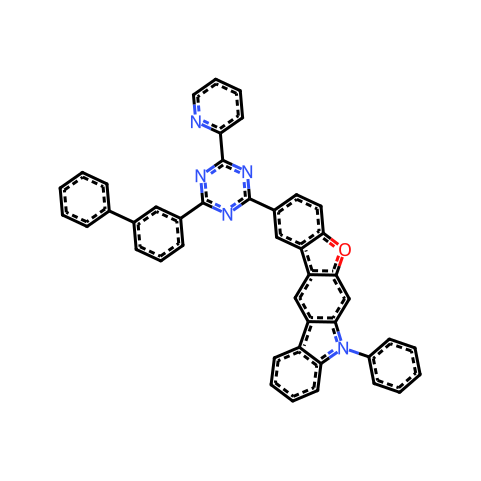 c1ccc(-c2cccc(-c3nc(-c4ccc5oc6cc7c(cc6c5c4)c4ccccc4n7-c4ccccc4)nc(-c4ccccn4)n3)c2)cc1